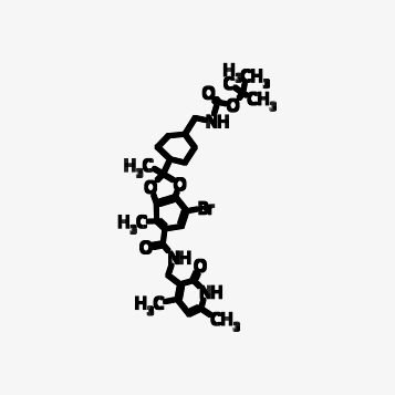 Cc1cc(C)c(CNC(=O)c2cc(Br)c3c(c2C)OC(C)(C2CCC(CNC(=O)OC(C)(C)C)CC2)O3)c(=O)[nH]1